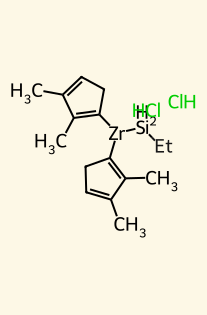 CC[SiH2][Zr]([C]1=C(C)C(C)=CC1)[C]1=C(C)C(C)=CC1.Cl.Cl